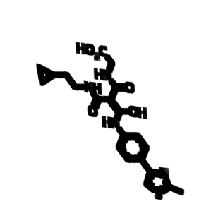 Cc1nc(-c2ccc(N/C(O)=C(\C(=O)NCCC3CC3)C(=O)NCC(=O)O)cc2)cs1